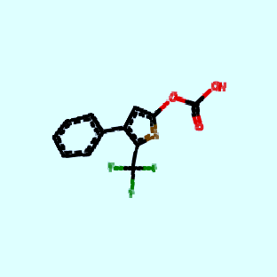 O=C(O)Oc1cc(-c2ccccc2)c(C(F)(F)F)s1